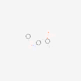 O=C(Nc1ccc(Cc2cc([N+](=O)[O-])ccc2O[PH](=O)O)cc1)OCc1ccccc1